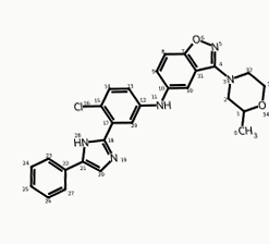 CC1CN(c2noc3ccc(Nc4ccc(Cl)c(-c5ncc(-c6ccccc6)[nH]5)c4)cc23)CCO1